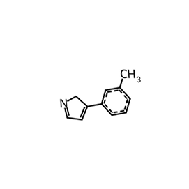 Cc1cccc(C2=CC=NC2)c1